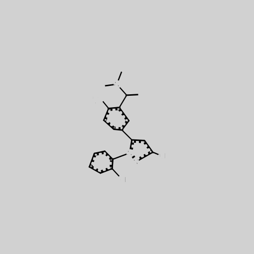 CC(c1cc(-c2cc(C(F)(F)F)nn2-c2ccccc2Cl)ccc1C(=O)O)N(C)C